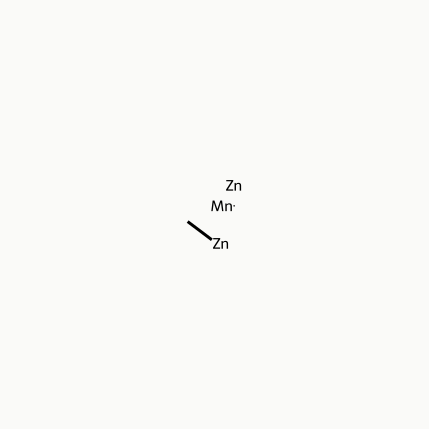 [CH3][Zn].[Mn].[Zn]